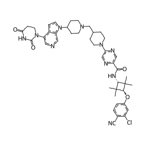 CC1(C)[C@H](NC(=O)c2cnc(N3CCC(CN4CCC(n5ccc6c(N7CCC(=O)NC7=O)cncc65)CC4)CC3)cn2)C(C)(C)[C@H]1Oc1ccc(C#N)c(Cl)c1